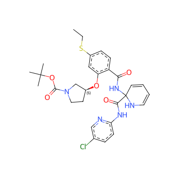 CCSc1ccc(C(=O)NC2(C(=O)Nc3ccc(Cl)cn3)C=CC=CN2)c(O[C@H]2CCN(C(=O)OC(C)(C)C)C2)c1